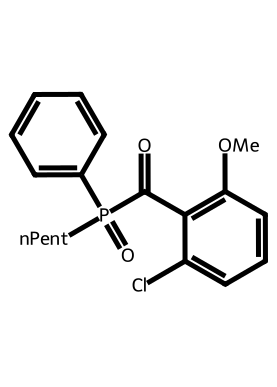 CCCCCP(=O)(C(=O)c1c(Cl)cccc1OC)c1ccccc1